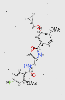 COc1ccc(-c2nc(CNC(=O)c3ccc(F)cc3OC)co2)cc1OCC1CC1